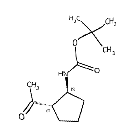 CC(=O)[C@H]1CCC[C@@H]1NC(=O)OC(C)(C)C